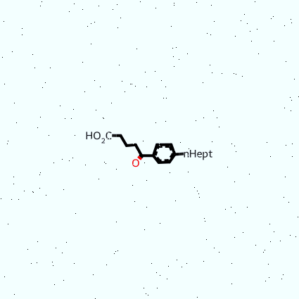 CCCCCCCc1ccc(C(=O)CCCC(=O)O)cc1